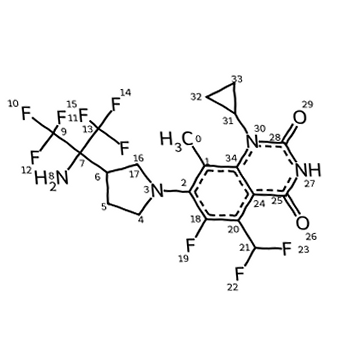 Cc1c(N2CCC(C(N)(C(F)(F)F)C(F)(F)F)C2)c(F)c(C(F)F)c2c(=O)[nH]c(=O)n(C3CC3)c12